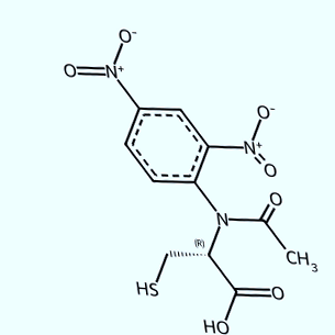 CC(=O)N(c1ccc([N+](=O)[O-])cc1[N+](=O)[O-])[C@@H](CS)C(=O)O